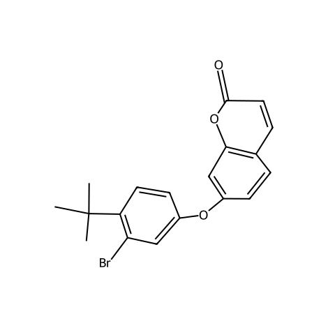 CC(C)(C)c1ccc(Oc2ccc3ccc(=O)oc3c2)cc1Br